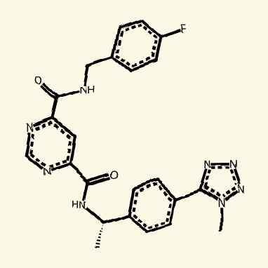 C[C@H](NC(=O)c1cc(C(=O)NCc2ccc(F)cc2)ncn1)c1ccc(-c2nnnn2C)cc1